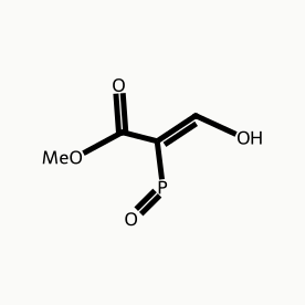 COC(=O)/C(=C/O)P=O